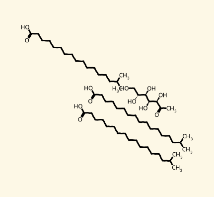 CC(=O)[C@H](O)[C@@H](O)[C@H](O)[C@H](O)CO.CC(C)CCCCCCCCCCCCCCC(=O)O.CC(C)CCCCCCCCCCCCCCC(=O)O.CC(C)CCCCCCCCCCCCCCC(=O)O